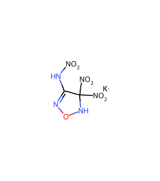 O=[N+]([O-])NC1=NONC1([N+](=O)[O-])[N+](=O)[O-].[K]